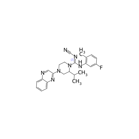 Cc1ccc(F)cc1N/C(=N/C#N)N1CCN(c2cnc3ccccc3n2)CC1C(C)C